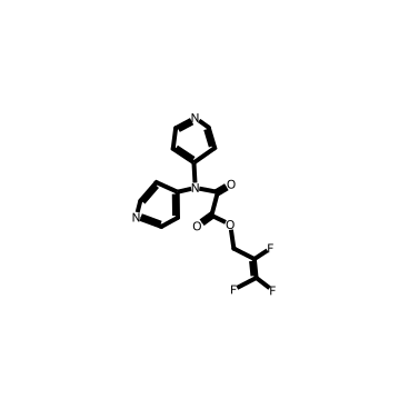 O=C(OCC(F)=C(F)F)C(=O)N(c1ccncc1)c1ccncc1